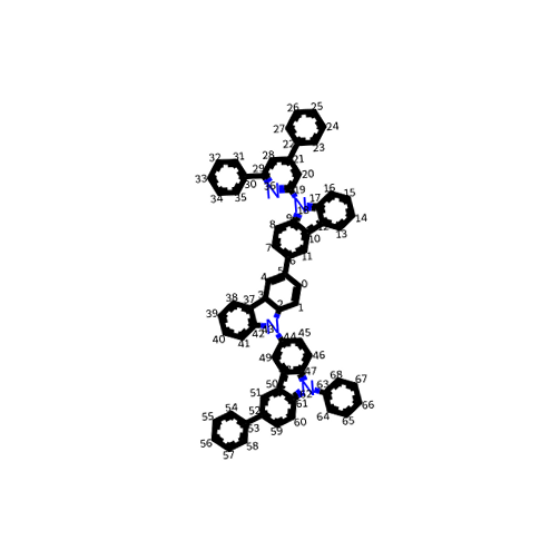 C1=CC2C(C=C1c1ccc3c(c1)c1ccccc1n3-c1cc(-c3ccccc3)cc(-c3ccccc3)n1)c1ccccc1N2c1ccc2c(c1)c1cc(-c3ccccc3)ccc1n2-c1ccccc1